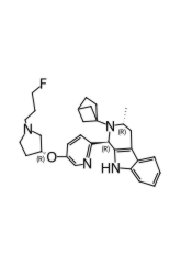 C[C@@H]1Cc2c([nH]c3ccccc23)[C@@H](c2ccc(O[C@@H]3CCN(CCCF)C3)cn2)N1C12CCC(C1)C2